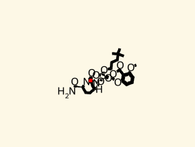 COc1cccc(OC)c1C(=O)OC(CCC(C)(C)C)OS(=O)(=O)ON1C(=O)N2C[C@H]1CC[C@H]2C(N)=O